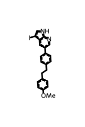 COc1ccc(CCc2ccc(-c3cnc4[nH]cc(I)c4c3)cc2)cc1